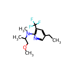 CCc1cnc(N(C)C(C)COC)c(C(F)(F)F)c1